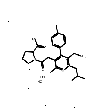 Cc1ccc(-c2c(CC(=O)N3CCC[C@H]3C(N)=O)c(C)nc(CC(C)C)c2CN)cc1.Cl.Cl